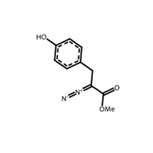 COC(=O)C(Cc1ccc(O)cc1)=[N+]=[N-]